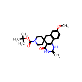 C=C1NC(=O)C2=C(N1)c1ccc(OC)cc1CC21CCN(C(=O)OC(C)(C)C)CC1